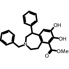 COC(=O)c1c(O)c(O)cc2c1CCN(Cc1ccccc1)CC2c1ccccc1